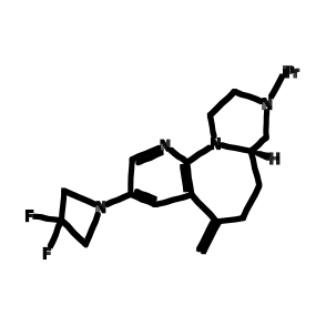 C=C1CC[C@H]2CN(C(C)C)CCN2c2ncc(N3CC(F)(F)C3)cc21